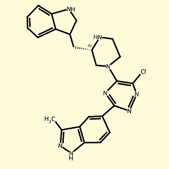 Cc1n[nH]c2ccc(-c3nnc(Cl)c(N4CCN[C@@H](CC5CNc6ccccc65)C4)n3)cc12